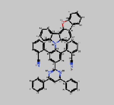 N#Cc1ccccc1-c1cc(-c2nc(-c3ccccc3)cc(-c3ccccc3)n2)cc(-c2ccccc2C#N)c1-n1c2ccccc2c2c3oc4ccccc4c3ccc21